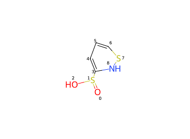 O=S(O)C1=CC=CSN1